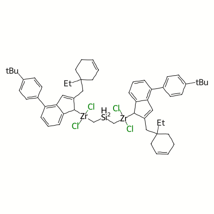 CCC1(CC2=Cc3c(-c4ccc(C(C)(C)C)cc4)cccc3[CH]2[Zr]([Cl])([Cl])[CH2][SiH2][CH2][Zr]([Cl])([Cl])[CH]2C(CC3(CC)CC=CCC3)=Cc3c(-c4ccc(C(C)(C)C)cc4)cccc32)CC=CCC1